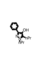 CCCc1c(O)c(-c2ccccc2)nn1CCC